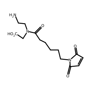 NCCN(CC(=O)O)C(=O)CCCCCN1C(=O)C=CC1=O